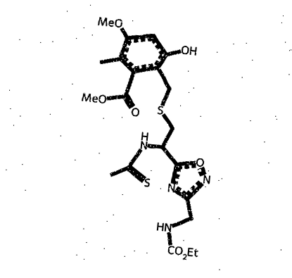 CCOC(=O)NCc1noc(C(CSCc2c(O)cc(OC)c(C)c2C(=O)OC)NC(C)=S)n1